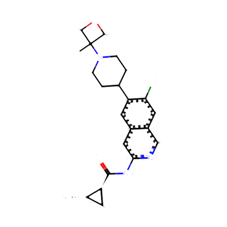 CC1(N2CCC(c3cc4cc(NC(=O)[C@H]5C[C@@H]5C#N)ncc4cc3Cl)CC2)COC1